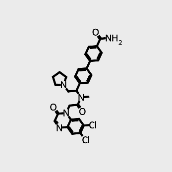 CN(C(=O)Cn1c(=O)cnc2cc(Cl)c(Cl)cc21)C(CN1CCCC1)c1ccc(-c2ccc(C(N)=O)cc2)cc1